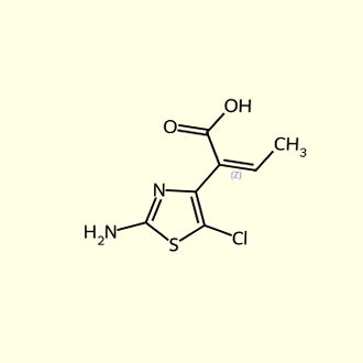 C/C=C(\C(=O)O)c1nc(N)sc1Cl